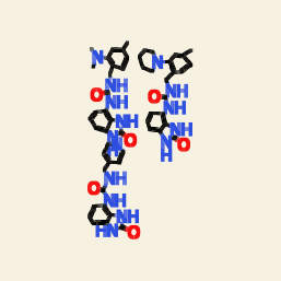 Cc1ccc(CNC(=O)Nc2cccc3[nH]c(=O)[nH]c23)c(N(C)C)c1.Cc1ccc(CNC(=O)Nc2cccc3[nH]c(=O)[nH]c23)c(N2CCCCC2)c1.O=C(NCc1ccncc1)Nc1cccc2[nH]c(=O)[nH]c12